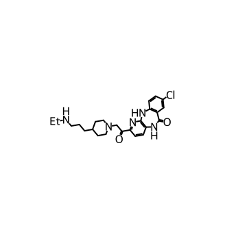 CCNCCCC1CCN(CC(=O)c2ccc3c(n2)Nc2ccc(Cl)cc2C(=O)N3)CC1